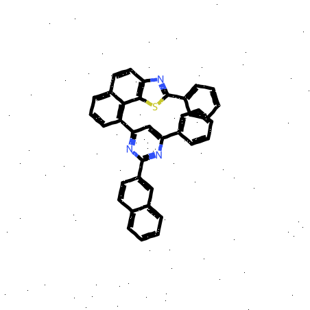 c1ccc(-c2cc(-c3cccc4ccc5nc(-c6ccccc6)sc5c34)nc(-c3ccc4ccccc4c3)n2)cc1